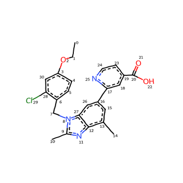 CCOc1ccc(Cn2c(C)nc3c(C)cc(-c4cc(C(=O)O)ccn4)cc32)c(Cl)c1